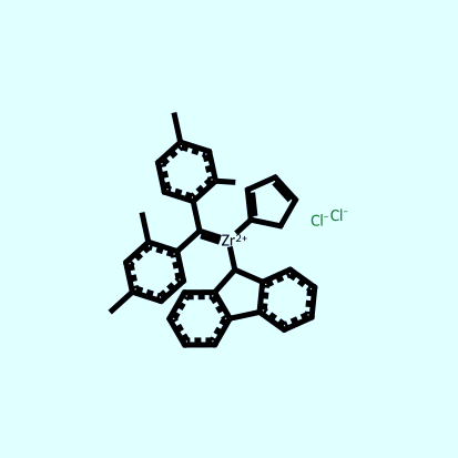 Cc1ccc([C](c2ccc(C)cc2C)=[Zr+2]([C]2=CC=CC2)[CH]2c3ccccc3-c3ccccc32)c(C)c1.[Cl-].[Cl-]